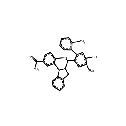 COc1cc(C2Nc3ccc(C(=N)N)cc3C3c4ccccc4CC23)c(-c2ccccc2C)cc1O